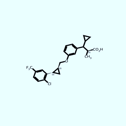 C[C@H](C(=O)O)C(c1cccc(OC[C@H]2C[C@@H]2c2cc(C(F)(F)F)ccc2Cl)c1)C1CC1